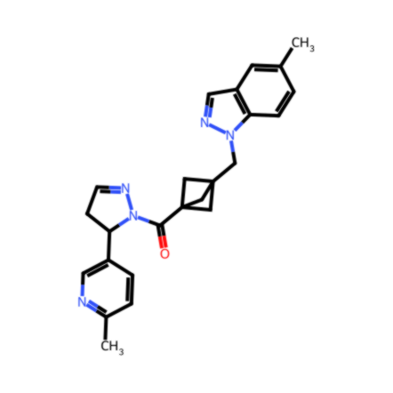 Cc1ccc2c(cnn2CC23CC(C(=O)N4N=CCC4c4ccc(C)nc4)(C2)C3)c1